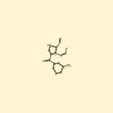 C=Cc1[nH]cc(C(=O)c2cccc(P)c2)c1/C=C\C